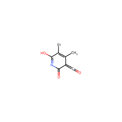 CCC1=C(C)C(=C=O)C(=O)N=C1O